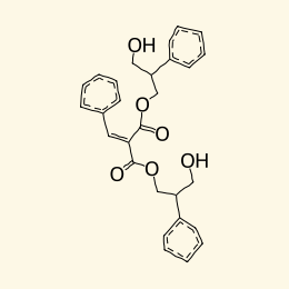 O=C(OCC(CO)c1ccccc1)C(=Cc1ccccc1)C(=O)OCC(CO)c1ccccc1